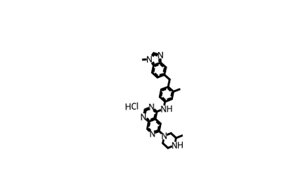 Cc1cc(Nc2ncnc3cnc(N4CCNC(C)C4)cc23)ccc1Cc1ccc2c(c1)ncn2C.Cl